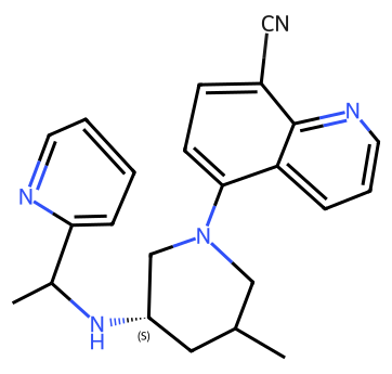 CC1C[C@H](NC(C)c2ccccn2)CN(c2ccc(C#N)c3ncccc23)C1